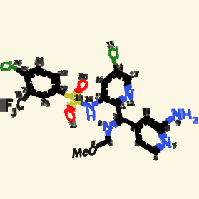 COC/N=C(\c1ccnc(N)c1)c1ncc(Cl)cc1NS(=O)(=O)c1ccc(Cl)c(C(F)(F)F)c1